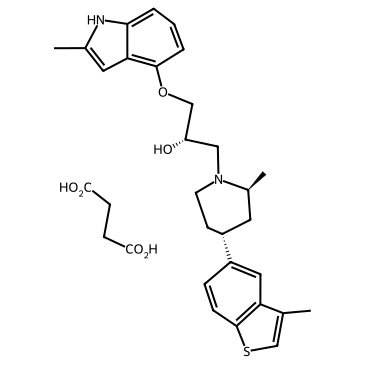 Cc1cc2c(OC[C@@H](O)CN3CC[C@@H](c4ccc5scc(C)c5c4)C[C@@H]3C)cccc2[nH]1.O=C(O)CCC(=O)O